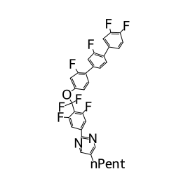 CCCCCc1cnc(-c2cc(F)c(C(F)(F)Oc3ccc(-c4ccc(-c5ccc(F)c(F)c5)c(F)c4)c(F)c3)c(F)c2)nc1